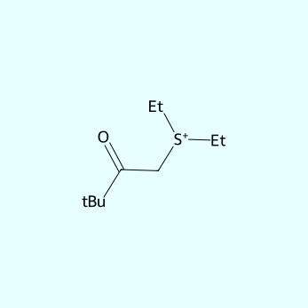 CC[S+](CC)CC(=O)C(C)(C)C